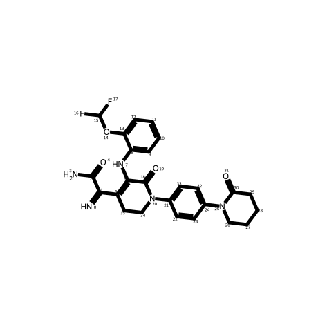 N=C(C(N)=O)C1=C(Nc2ccccc2OC(F)F)C(=O)N(c2ccc(N3CCCCC3=O)cc2)CC1